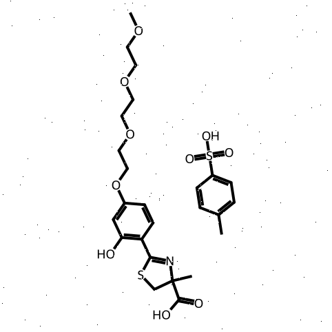 COCCOCCOCCOc1ccc(C2=NC(C)(C(=O)O)CS2)c(O)c1.Cc1ccc(S(=O)(=O)O)cc1